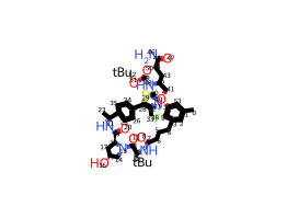 Cc1cc(CCCC(=O)NC(C(=O)N2C[C@H](O)C[C@H]2C(=O)NC(C)c2ccc(-c3scnc3C)cc2)C(C)(C)C)c(F)c(OCC(CCC(N)=O)NC(=O)OC(C)(C)C)c1